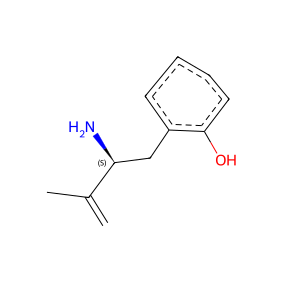 C=C(C)[C@@H](N)Cc1ccccc1O